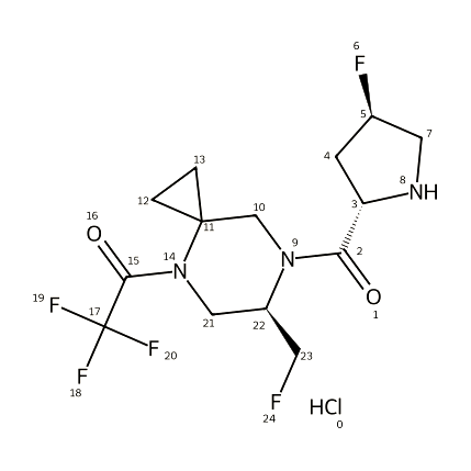 Cl.O=C([C@@H]1C[C@@H](F)CN1)N1CC2(CC2)N(C(=O)C(F)(F)F)C[C@@H]1CF